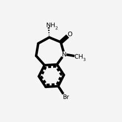 CN1C(=O)[C@@H](N)CCc2ccc(Br)cc21